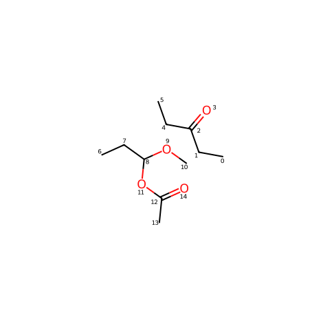 CCC(=O)CC.CCC(OC)OC(C)=O